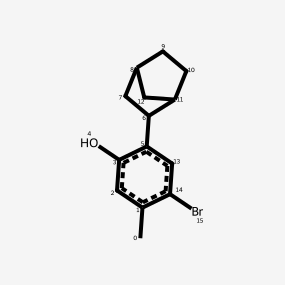 Cc1cc(O)c(C2CC3CCC2C3)cc1Br